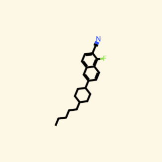 CCCCCC1CCC(c2ccc3c(F)c(C#N)ccc3c2)CC1